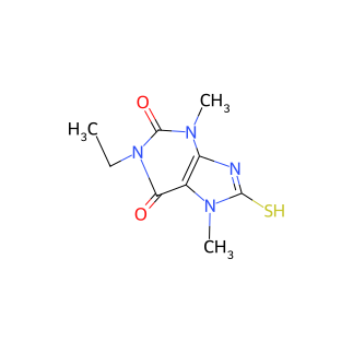 CCn1c(=O)c2c(nc(S)n2C)n(C)c1=O